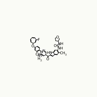 Cc1cc2cc(C(=O)C3C=NN(c4ccc(OC5C=CC=CC(F)=C5)cc4C)C(N)=C3)[nH]c2cc1N[S+]([O-])NC1CCOC1